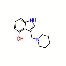 Oc1cccc2[nH]cc(CN3CCCCC3)c12